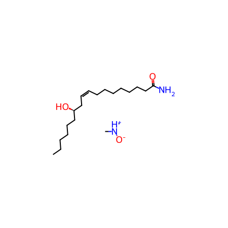 CCCCCC[C@@H](O)C/C=C\CCCCCCCC(N)=O.C[NH+](C)[O-]